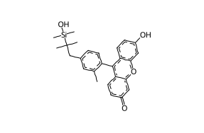 Cc1cc(CC(C)(C)[Si](C)(C)O)ccc1-c1c2ccc(=O)cc-2oc2cc(O)ccc12